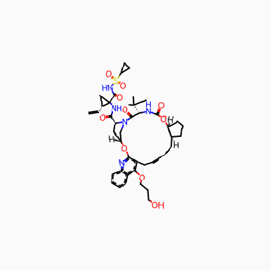 C=C[C@@H]1C[C@]1(NC(=O)[C@@H]1C[C@@H]2CN1C(=O)[C@H](C(C)(C)C)NC(=O)O[C@@H]1CCC[C@H]1CC/C=C/Cc1c(nc3ccccc3c1OCCCO)O2)C(=O)NS(=O)(=O)C1CC1